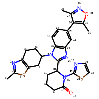 Cc1nc2c(s1)CC(n1c(C3CCCC(=O)N3c3nccs3)nc3cc(-c4c(C)noc4C)ccc31)CC2